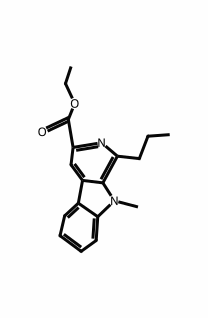 CCCc1nc(C(=O)OCC)cc2c3ccccc3n(C)c12